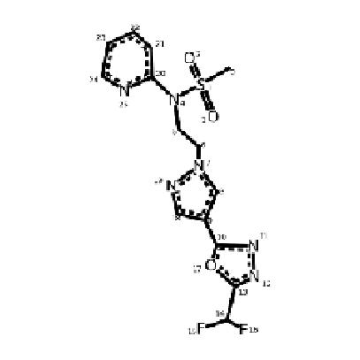 CS(=O)(=O)N(CCn1cc(-c2nnc(C(F)F)o2)cn1)c1ccccn1